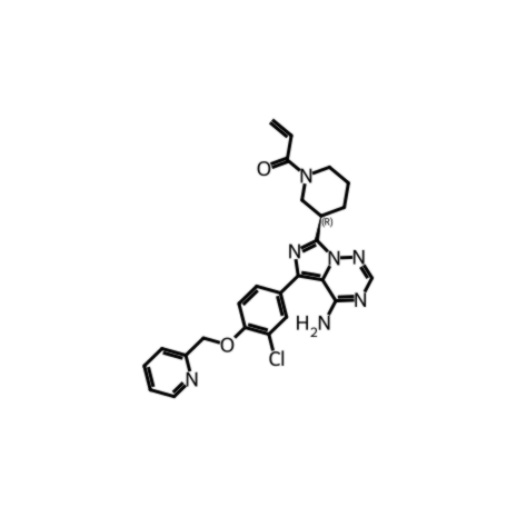 C=CC(=O)N1CCC[C@@H](c2nc(-c3ccc(OCc4ccccn4)c(Cl)c3)c3c(N)ncnn23)C1